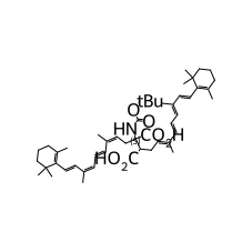 CC(C=CC1=C(C)CCCC1(C)C)=CC=CC(C)=CCC(C(=O)O)[C@](CC=C(C)C=CC=C(C)C=CC1=C(C)CCCC1(C)C)(NC(=O)OC(C)(C)C)C(=O)O